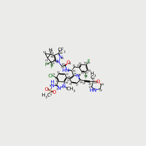 Cn1nc(NS(C)(=O)=O)c2c(Cl)ccc(-c3ccc(C#C[C@]4(C)CNCCO4)nc3[C@H](Cc3cc(F)cc(F)c3)NC(=O)Cn3nc(C(F)(F)F)c4c3C(F)(F)C3C[C@H]43)c21